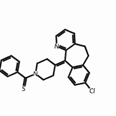 S=C(c1ccccc1)N1CCC(=C2c3ccc(Cl)cc3CCc3cccnc32)CC1